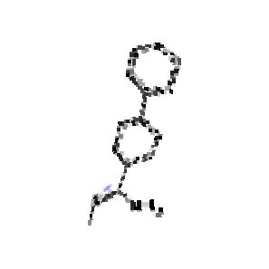 C/N=C(\N)c1ccc(-c2ccccc2)cc1